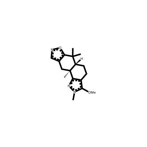 COc1c2c(nn1C)[C@@]1(C)Cc3cnoc3C(C)(C)[C@@H]1CC2